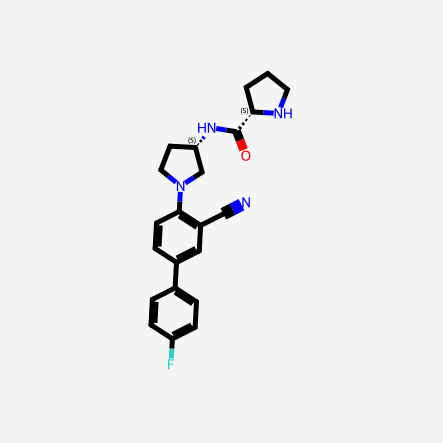 N#Cc1cc(-c2ccc(F)cc2)ccc1N1CC[C@H](NC(=O)[C@@H]2CCCN2)C1